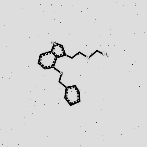 CC[Se]CCc1c[nH]c2cccc(OCc3ccccc3)c12